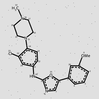 COc1cccc(-c2cnc(Nc3ccc(N4CCN(C)CC4)c(Cl)c3)o2)c1